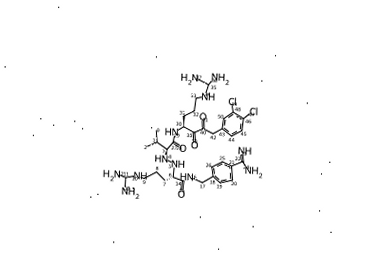 CC(C)[C@H](NN[C@@H](CCCNC(N)N)C(=O)NCc1ccc(C(=N)N)cc1)C(=O)N[C@@H](CCCNC(N)N)C(=O)C(=O)Cc1ccc(Cl)c(Cl)c1